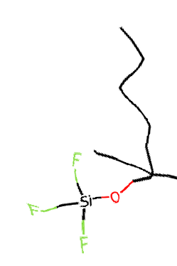 CCCCC(C)(C)O[Si](F)(F)F